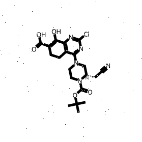 CC(C)(C)OC(=O)N1CCN(c2nc(Cl)nc3c2CCC(C(=O)O)=C3O)C[C@@H]1CC#N